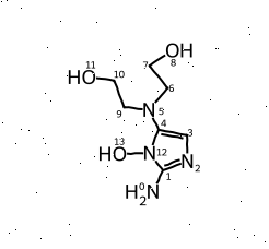 Nc1ncc(N(CCO)CCO)n1O